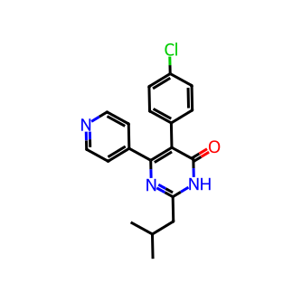 CC(C)Cc1nc(-c2ccncc2)c(-c2ccc(Cl)cc2)c(=O)[nH]1